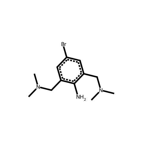 CN(C)Cc1cc(Br)cc(CN(C)C)c1N